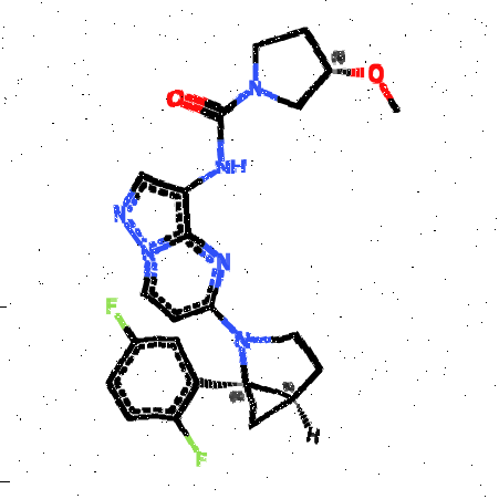 CO[C@H]1CCN(C(=O)Nc2cnn3ccc(N4CC[C@H]5C[C@]54c4cc(F)ccc4F)nc23)C1